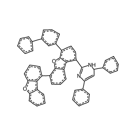 C1=C(c2ccccc2)N=C(c2ccc(-c3cccc(-c4ccccc4)c3)c3oc4c(-c5cccc6oc7ccccc7c56)cccc4c23)NC1c1ccccc1